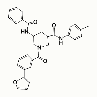 Cc1ccc(NC(=O)C2CC(NC(=O)c3ccccc3)CN(C(=O)c3cccc(-c4ccco4)c3)C2)cc1